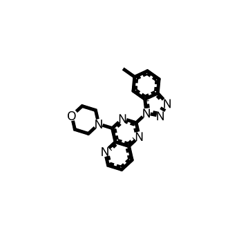 Cc1ccc2nnn(-c3nc(N4CCOCC4)c4ncccc4n3)c2c1